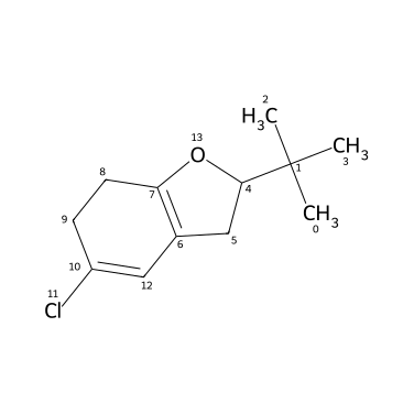 CC(C)(C)C1CC2=C(CCC(Cl)=C2)O1